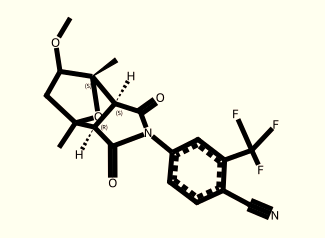 COC1CC2(C)O[C@@]1(C)[C@H]1C(=O)N(c3ccc(C#N)c(C(F)(F)F)c3)C(=O)[C@H]12